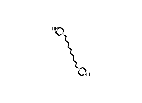 C(CCCCCN1CCNCC1)CCCCN1CCNCC1